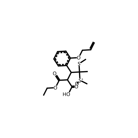 C=CCOc1ccccc1C(C(C(=O)O)C(=O)OCC)C(C)(SC)[S+](C)[O-]